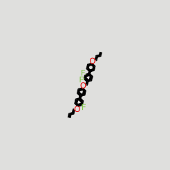 C=CCCOc1ccc(-c2ccc(OCc3ccc(C4CCC(OCCCC)CC4)c(F)c3F)cc2)cc1F